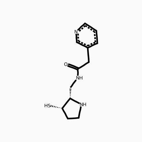 O=C(Cc1cccnc1)NC[C@@H]1NCC[C@@H]1S